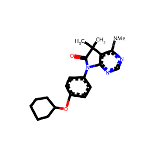 CNc1ncnc2c1C(C)(C)C(=O)N2c1ccc(OC2CCCCC2)cc1